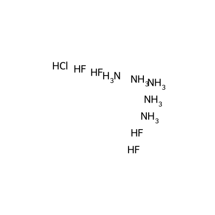 Cl.F.F.F.F.N.N.N.N.N